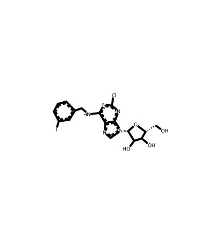 OC[C@H]1O[C@@H](n2cnc3c(NCc4cccc(I)c4)nc(Cl)nc32)C(O)C1O